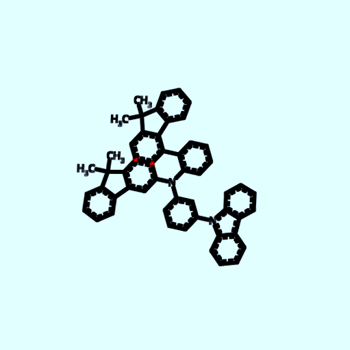 CC1(C)c2ccccc2-c2cc(N(c3cccc(-n4c5ccccc5c5ccccc54)c3)c3ccccc3-c3cccc4c3-c3ccccc3C4(C)C)ccc21